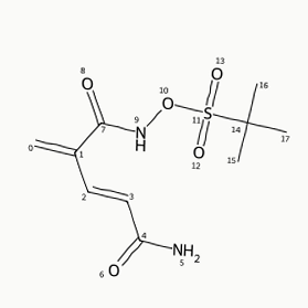 C=C(C=CC(N)=O)C(=O)NOS(=O)(=O)C(C)(C)C